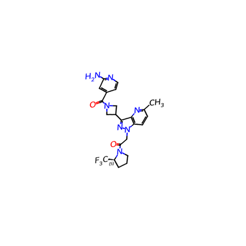 Cc1ccc2c(n1)c(C1CN(C(=O)c3ccnc(N)c3)C1)nn2CC(=O)N1CCC[C@H]1C(F)(F)F